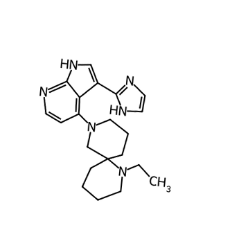 CCN1CCCCC12CCCN(c1ccnc3[nH]cc(-c4ncc[nH]4)c13)C2